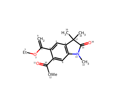 C=C(OCC)c1cc2c(cc1C(=O)OC)N(C)C(=O)C2(C)C